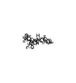 C=CCn1c(=O)c2cnc(Nc3ccc(N4CCN(C)CC4)c(F)c3)nc2n1-c1ccc(=O)n(C(C)C)c1